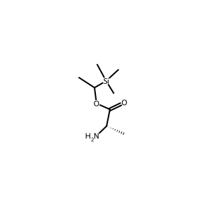 CC(OC(=O)[C@H](C)N)[Si](C)(C)C